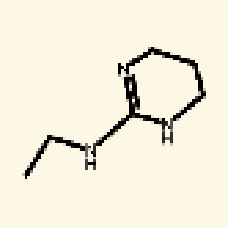 CCNC1=NCCCN1